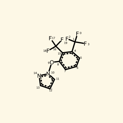 FC(F)(F)c1cccc(On2c[c]cn2)c1C(F)(F)F